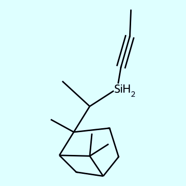 CC#C[SiH2]C(C)C1(C)CCC2CC1C2(C)C